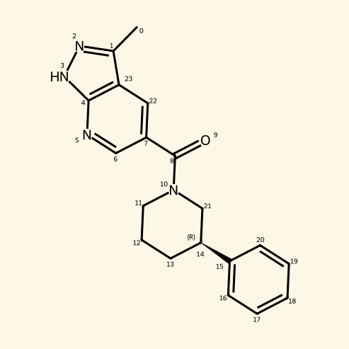 Cc1n[nH]c2ncc(C(=O)N3CCC[C@H](c4ccccc4)C3)cc12